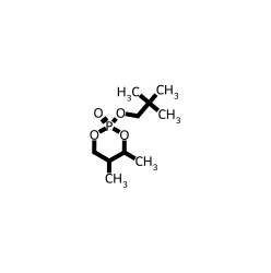 CC1COP(=O)(OCC(C)(C)C)OC1C